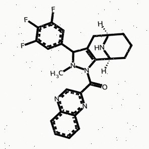 CN1C(c2cc(F)c(F)c(F)c2)C2=C([C@@H]3CCC[C@H](C2)N3)N1C(=O)c1cnc2ccccc2n1